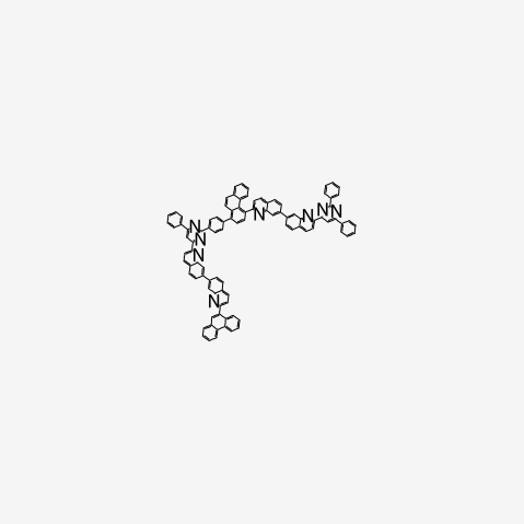 c1ccc(-c2cc(-c3ccc4ccc(-c5ccc6ccc(-c7cc8ccccc8c8ccccc78)nc6c5)cc4n3)nc(-c3ccc(-c4ccc(-c5ccc6ccc(-c7ccc8ccc(-c9cc(-c%10ccccc%10)nc(-c%10ccccc%10)n9)nc8c7)cc6n5)c5c4ccc4ccccc45)cc3)n2)cc1